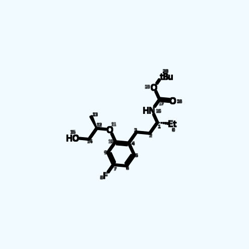 CC[C@H](CCc1ccc(F)cc1O[C@H](C)CO)NC(=O)OC(C)(C)C